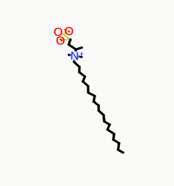 CCCCCCCCCCCCCCCCCCCC[N+](C)(C)C(C)CCS(=O)(=O)[O-]